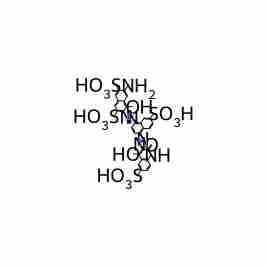 Nc1cc2c(O)c(/N=N/c3ccc(/N=N/c4c(O)c5cc(S(=O)(=O)O)ccc5[nH]c4=O)c4ccc(S(=O)(=O)O)cc34)c(S(=O)(=O)O)cc2cc1S(=O)(=O)O